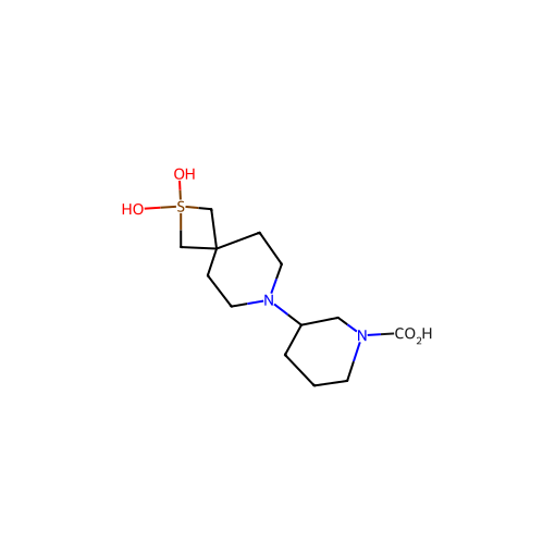 O=C(O)N1CCCC(N2CCC3(CC2)CS(O)(O)C3)C1